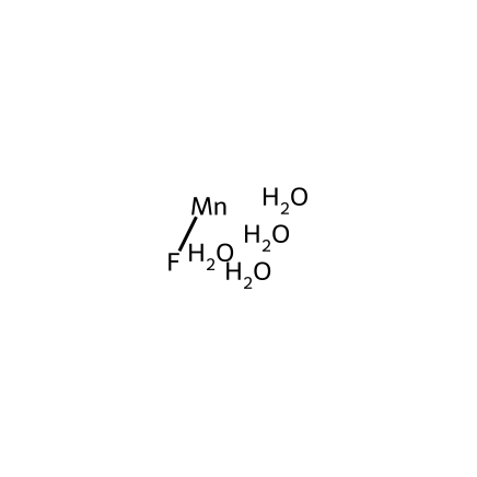 O.O.O.O.[F][Mn]